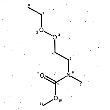 CCOOCCN(C)C(=O)OC